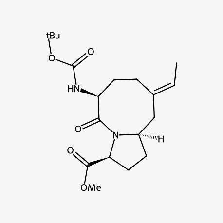 C/C=C1\CC[C@H](NC(=O)OC(C)(C)C)C(=O)N2[C@H](CC[C@H]2C(=O)OC)C1